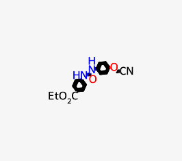 CCOC(=O)c1ccc(NC(=O)Nc2ccc(OCC#N)cc2)cc1